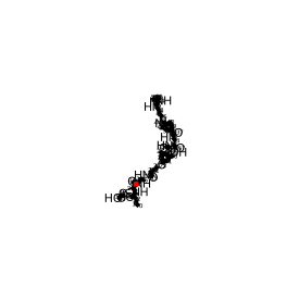 CCCC(=O)N[C@@H](CSOOO)C(=O)NCCNC(=O)CCCOc1cc(C)c(S(=O)(=O)N[C@@H](CNC(=O)c2ccc3c(cnn3CCCNc3ncc[nH]3)c2)C(=O)O)c(C)c1